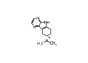 CN(C)[C@H]1CCc2[nH]c3nccnc3c2C1